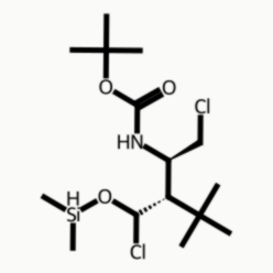 C[SiH](C)OC(Cl)[C@H]([C@H](CCl)NC(=O)OC(C)(C)C)C(C)(C)C